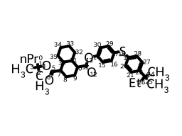 CCCC(C)(C)OC(=O)C1CCC(C(=O)Oc2ccc(Sc3ccc(C(C)(C)CC)cc3)cc2)C2CCCCC12